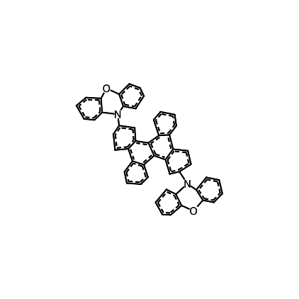 c1ccc2c(c1)Oc1ccccc1N2c1ccc2c3ccccc3c3c4cc(N5c6ccccc6Oc6ccccc65)ccc4c4ccccc4c3c2c1